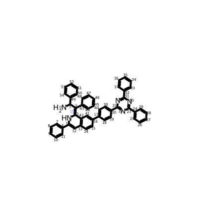 NC(/C(=C1\NC(c2ccccc2)=Cc2ccc(-c3ccc(-c4nc(-c5ccccc5)nc(-c5ccccc5)n4)cc3)cc21)c1ccccc1)c1ccccc1